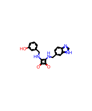 O=c1c(NCc2cccc(O)c2)c(NCc2ccc3nc[nH]c3c2)c1=O